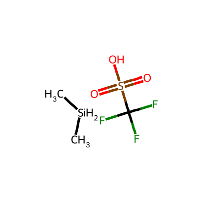 C[SiH2]C.O=S(=O)(O)C(F)(F)F